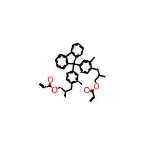 C=CC(=O)OCC(C)Cc1ccc(C2(c3ccc(CC(C)COC(=O)C=C)c(C)c3)c3ccccc3-c3ccccc32)cc1C